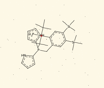 CC(C)(C)C(P)(c1cc([Si](C)(C)C)c([Si](C)(C)C)cc1CP(c1ccc[nH]1)c1ccc[nH]1)C(C)(C)C